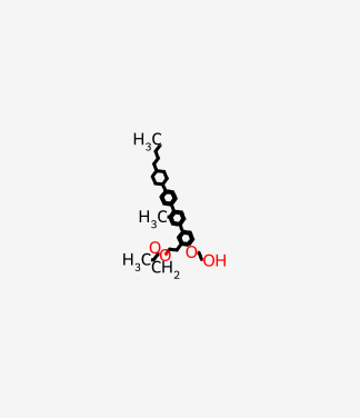 C=C(C)C(=O)OCCc1cc(-c2ccc(-c3ccc(C4CCC(CCCCC)CC4)cc3)c(C)c2)ccc1OCCO